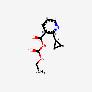 CCOC(=O)OC(=O)c1cccnc1C1CC1